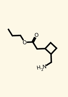 CCCOC(=O)CC1CCC1CN